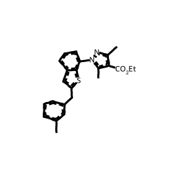 CCOC(=O)c1c(C)nn(-c2cccc3cc(Cc4cccc(C)c4)sc23)c1C